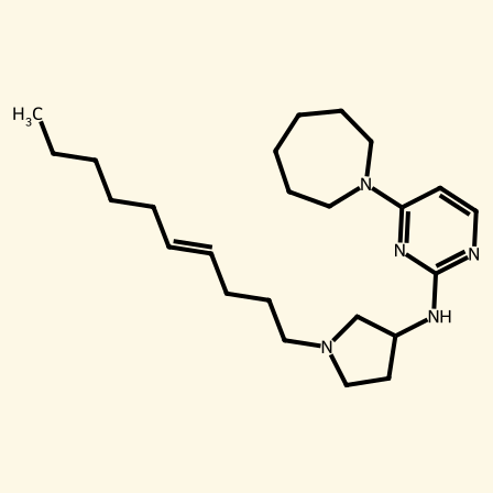 CCCCCC=CCCCN1CCC(Nc2nccc(N3CCCCCC3)n2)C1